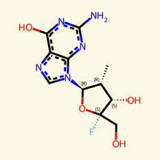 C[C@H]1[C@H](n2cnc3c(O)nc(N)nc32)O[C@](F)(CO)[C@H]1O